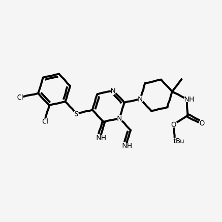 CC1(NC(=O)OC(C)(C)C)CCN(c2ncc(Sc3cccc(Cl)c3Cl)c(=N)n2C=N)CC1